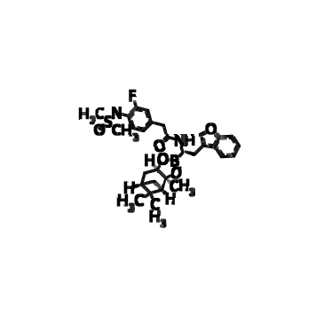 CC1(C)[C@@H]2C[C@H]3OB([C@H](Cc4coc5ccccc45)NC(=O)Cc4ccc(N=S(C)(C)=O)c(F)c4)O[C@@]3(C)[C@H]1C2